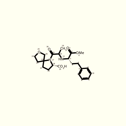 COC(=O)[C@H](CCc1ccccc1)NC(C)C(=O)N1[C@H](C(=O)O)CCC12CCOC2